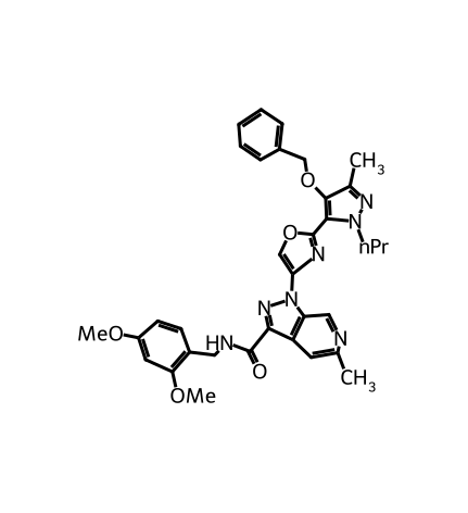 CCCn1nc(C)c(OCc2ccccc2)c1-c1nc(-n2nc(C(=O)NCc3ccc(OC)cc3OC)c3cc(C)ncc32)co1